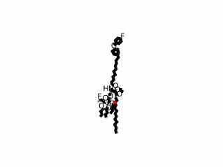 CCCCCCCCCCCCCC[C@H]1OC(C)(C)O[C@H]1[C@H](CO[C@@H](OC(COCCCC)[C@H](C)F)[C@@H](COCCCC)OCCCC)NC(=O)CCCCCCCCCCc1ccc(Oc2ccc(F)cc2)cc1